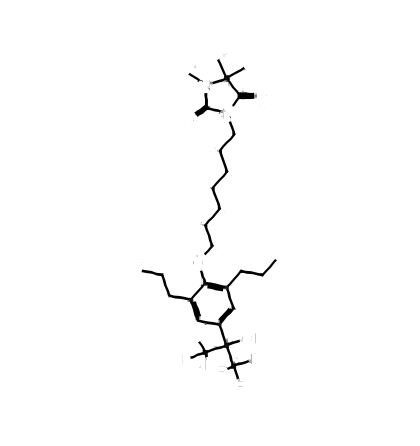 CCCc1cc(C(O)(C(F)(F)F)C(F)(F)F)cc(CCC)c1OCCCCCCCN1C(=O)N(C)C(C)(C)C1=O